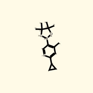 Cc1cc(C2CC2)ncc1B1OC(C)(C)C(C)(C)O1